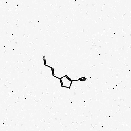 N#Cc1cc(/C=C/C=O)cs1